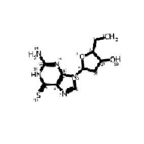 CCC1OC(n2cnc3c(=S)[nH]c(N)nc32)CC1O